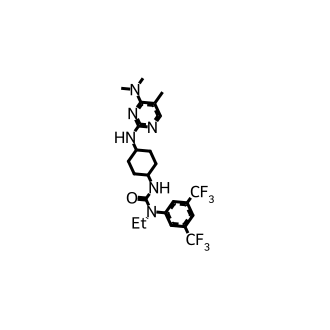 CCN(C(=O)NC1CCC(Nc2ncc(C)c(N(C)C)n2)CC1)c1cc(C(F)(F)F)cc(C(F)(F)F)c1